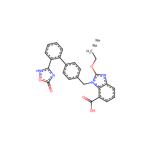 CCOc1nc2cccc(C(=O)O)c2n1Cc1ccc(-c2ccccc2-c2nc(=O)o[nH]2)cc1.[Na].[Na]